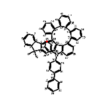 CC1(C)c2ccccc2-c2ccc(N(c3ccc(-c4ccccc4)cc3)c3cccc4c5ccccc5c5ccccc5c5ccccc5c5ccccc5c34)cc21